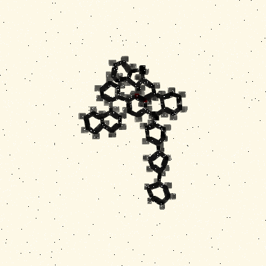 c1ccc(-c2ccc(-c3ccc(N(c4ccc(-c5ccccc5-c5cccc6ccccc56)cc4)c4ccccc4-c4ccc5c(c4)sc4ccccc45)cc3)cc2)cc1